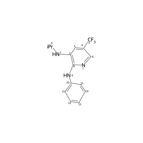 CC(C)Nc1cc(C(F)(F)F)cnc1Nc1ccccc1